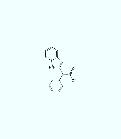 O=[N+]([O-])C(c1ccccc1)c1cc2ccccc2[nH]1